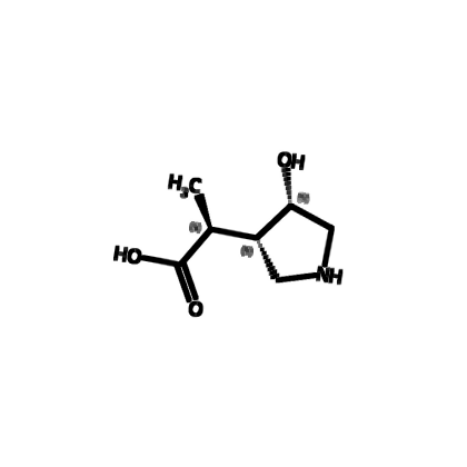 C[C@H](C(=O)O)[C@H]1CNC[C@H]1O